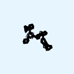 c1ccc(-c2nc(-c3ccc4c(c3)oc3cccc(-c5ccc6oc7ccccc7c6c5)c34)nc(-n3c4ccccc4c4ccccc43)n2)cc1